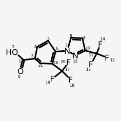 O=C(O)c1ccc(-n2ccc(C(F)(F)F)n2)c(C(F)(F)F)c1